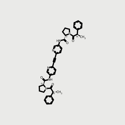 C[C@@H](C(=O)N1CCC[C@H]1C(=O)Nc1ccc(C#Cc2ccc(NC(=O)[C@@H]3CCCN3C(=O)[C@H](C)c3ccccc3)cn2)nc1)c1ccccc1